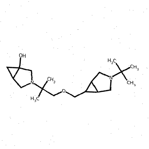 CC(C)(C)N1CC2C(COCC(C)(C)N3CC4CC4(O)C3)C2C1